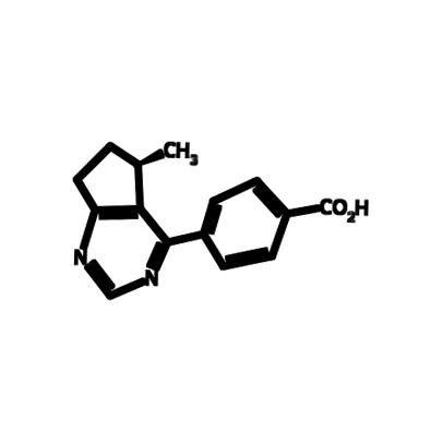 C[C@@H]1CCc2ncnc(-c3ccc(C(=O)O)cc3)c21